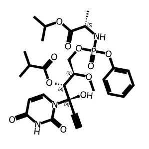 C#C[C@@](O)([C@H](OC(=O)C(C)C)[C@@H](COP(=O)(N[C@@H](C)C(=O)OC(C)C)Oc1ccccc1)OC)n1ccc(=O)[nH]c1=O